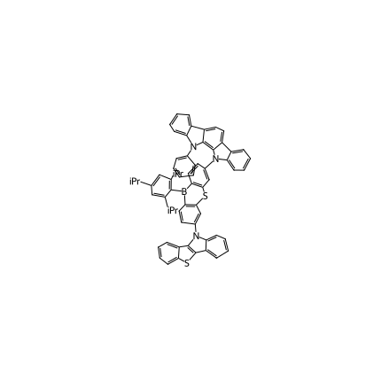 CC(C)c1cc(C(C)C)c(B2c3ccc(-n4c5ccccc5c5sc6ccccc6c54)cc3Sc3cc(-n4c5ccccc5c5ccc6c7ccccc7n(-c7ccccc7)c6c54)ccc32)c(C(C)C)c1